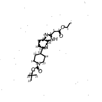 CCOC(=O)Cc1nc2ccc(C3CCN(C(=O)OC(C)(C)C)CC3)nc2[nH]1